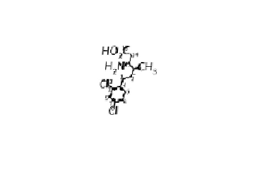 CC(CCc1ccc(Cl)cc1Cl)C(N)CC(=O)O